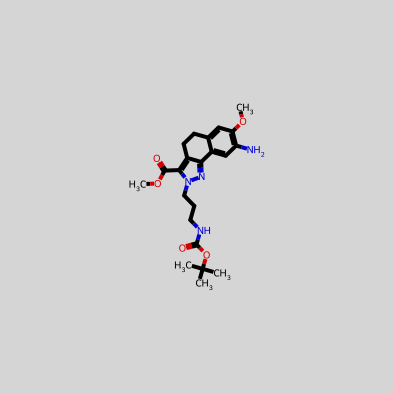 COC(=O)c1c2c(nn1CCCNC(=O)OC(C)(C)C)-c1cc(N)c(OC)cc1CC2